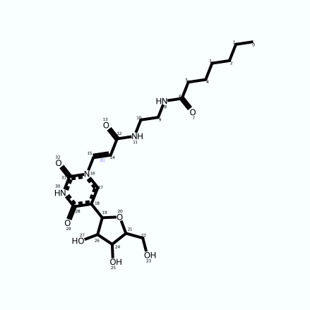 CCCCCCC(=O)NCCNC(=O)/C=C/n1cc(C2OC(CO)C(O)C2O)c(=O)[nH]c1=O